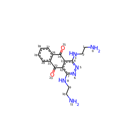 NCCNc1nnc(NCCN)c2c1C(=O)c1ccccc1C2=O